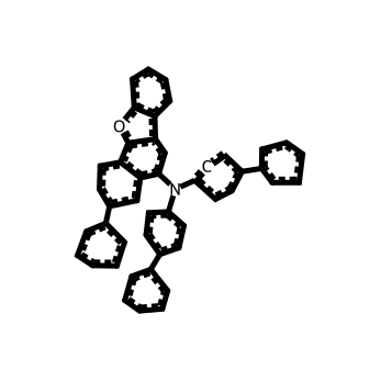 c1ccc(-c2ccc(N(c3ccc(-c4ccccc4)cc3)c3cc4c5ccccc5oc4c4ccc(-c5ccccc5)cc34)cc2)cc1